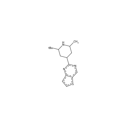 CC1CC(c2ncc3sccc3n2)CC(C(C)(C)C)N1